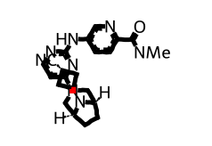 CNC(=O)c1ccc(Nc2nccc(N3C[C@H]4CC[C@@H](C3)N4[C@H]3C[C@@H](C#N)C3)n2)cn1